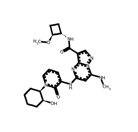 CNc1cc(Nc2cccn([C@@H]3CCCC[C@@H]3O)c2=O)nc2c(C(=O)N[C@H]3CC[C@@H]3OC)cnn12